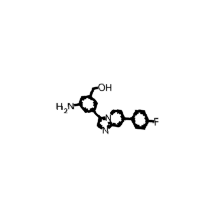 Nc1cc(CO)cc(-c2cnc3cc(-c4ccc(F)cc4)ccn23)c1